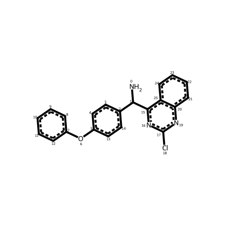 NC(c1ccc(Oc2ccccc2)cc1)c1nc(Cl)nc2ccccc12